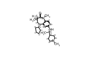 C[C@@H](Nc1ncc2c(n1)N(C1CCCC1)CC(C)(C)C(=O)N2C)C1CCN(C)CC1